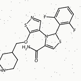 NC(=O)C1=CSC(c2c(F)cccc2F)N1c1cnsc1OCC1CCNCC1